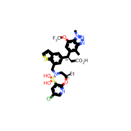 CC[C@@H]1CN(Cc2cc([C@H](CC(=O)O)c3cc(OC(F)(F)F)c4c(nnn4C)c3C)cc3ccsc23)S(O)(O)c2cc(Cl)cnc2O1